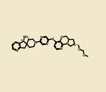 COCOC[C@H]1CC2COc3c(Sc4cnc(N5CCC6(CC5)Cc5ncccc5[C@H]6N)cn4)ccnc3N2C1